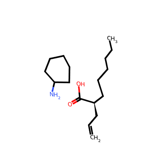 C=CC[C@H](CCCCCC)C(=O)O.NC1CCCCC1